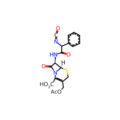 CC(=O)OCC1=C(C(=O)O)N2C(=O)[C@@H](NC(=O)C(N=C=O)c3ccccc3)[C@H]2SC1